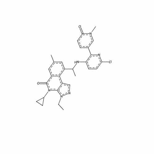 CCn1ncc2c3c(C(C)Nc4ccc(Cl)nc4-c4ccc(=O)n(C)c4)cc(C)cc3c(=O)n(C3CC3)c21